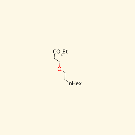 CCCCCCCCOCCC(=O)OCC